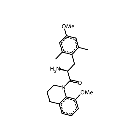 COc1cc(C)c(C[C@H](N)C(=O)N2CCCc3cccc(OC)c32)c(C)c1